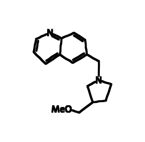 COCC1CCN(Cc2ccc3ncccc3c2)C1